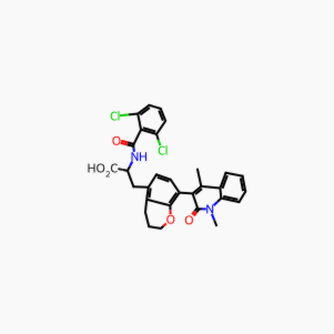 Cc1c(-c2ccc(CC(NC(=O)c3c(Cl)cccc3Cl)C(=O)O)c3c2OCCC3)c(=O)n(C)c2ccccc12